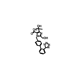 CC(C)(O)c1nc(CO)n(Cc2ccc(-c3ccccc3C3N=NN=N3)cc2)c1C(=O)O